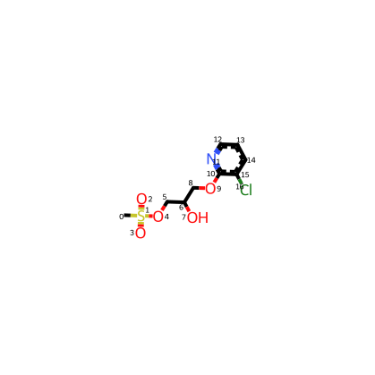 CS(=O)(=O)OCC(O)COc1ncccc1Cl